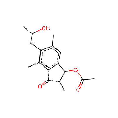 CC(=O)OC1c2cc(C)c(CC(C)O)c(C)c2C(=O)C1C